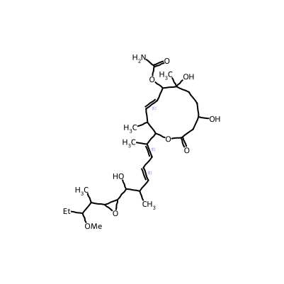 CCC(OC)C(C)C1OC1C(O)C(C)/C=C/C=C(\C)C1OC(=O)CC(O)CCC(C)(O)C(OC(N)=O)/C=C/C1C